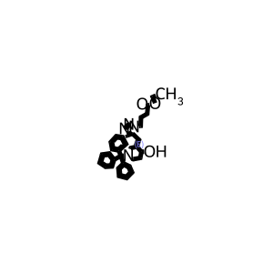 CCOC(=O)CCCn1nncc1/C=C1\CN(C(c2ccccc2)(c2ccccc2)c2ccccc2)CCC1O